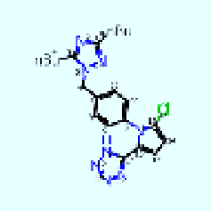 CCCCc1nc(CCCC)n(Cc2ccc(-n3c(Cl)ccc3-c3nnn[nH]3)cc2)n1